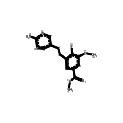 COC(=O)c1cc(CCc2cnc(N)nc2)c(F)c(OC)c1